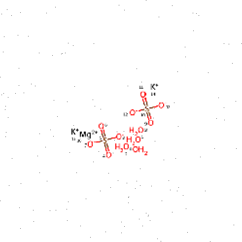 O.O.O.O.O=S(=O)([O-])[O-].O=S(=O)([O-])[O-].[K+].[K+].[Mg+2]